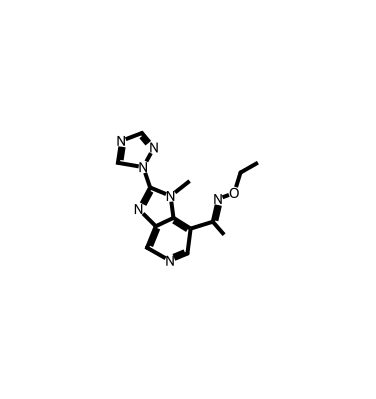 CCON=C(C)c1cncc2nc(-n3cncn3)n(C)c12